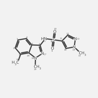 Cc1cccc2c(NS(=O)(=O)c3cnn(C)c3)nn(C)c12